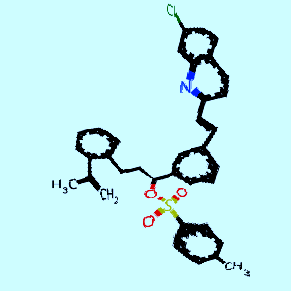 C=C(C)c1ccccc1CC[C@H](OS(=O)(=O)c1ccc(C)cc1)c1cccc(/C=C/c2ccc3ccc(Cl)cc3n2)c1